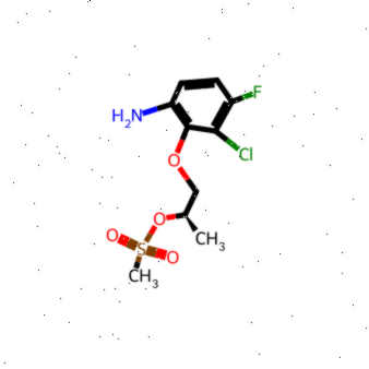 C[C@H](COc1c(N)ccc(F)c1Cl)OS(C)(=O)=O